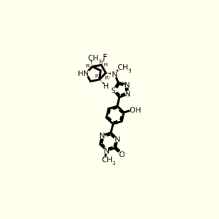 CN(c1nnc(-c2ccc(-c3ncn(C)c(=O)n3)cc2O)s1)[C@@H]1[C@H]2CN[C@](C)(C2)[C@@H]1F